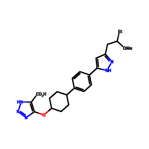 CCC(Cc1cc(-c2ccc(C3CCC(Oc4nn[nH]c4C(=O)O)CC3)cc2)[nH]n1)OC